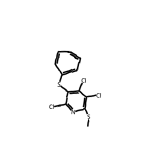 CSc1nc(Cl)c(Sc2ccccc2)c(Cl)c1Cl